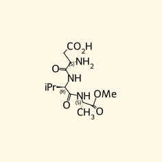 COC(=O)[C@H](C)NC(=O)[C@H](NC(=O)[C@@H](N)CC(=O)O)C(C)C